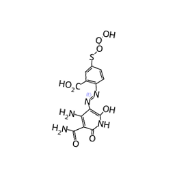 NC(=O)c1c(N)c(/N=N/c2ccc(SOOO)cc2C(=O)O)c(O)[nH]c1=O